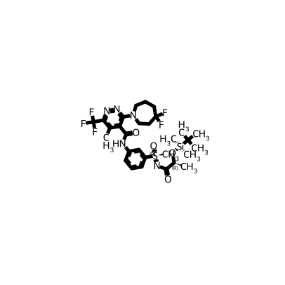 Cc1c(C(F)(F)F)nnc(N2CCCC(F)(F)CC2)c1C(=O)Nc1cccc([S@@](C)(=O)=NC(=O)[C@@H](C)O[Si](C)(C)C(C)(C)C)c1